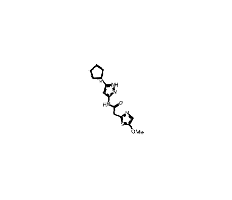 COc1cnc(CC(=O)Nc2cc([C@H]3C[CH]CC3)[nH]n2)s1